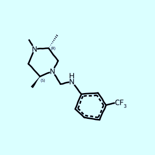 C[C@@H]1CN(CNc2cccc(C(F)(F)F)c2)[C@@H](C)CN1C